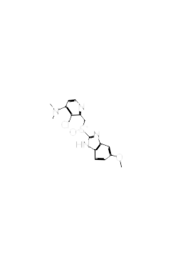 COc1ccc2[nH]c([S+]([O-])Cc3nccc(N(C)C)c3Cl)nc2c1